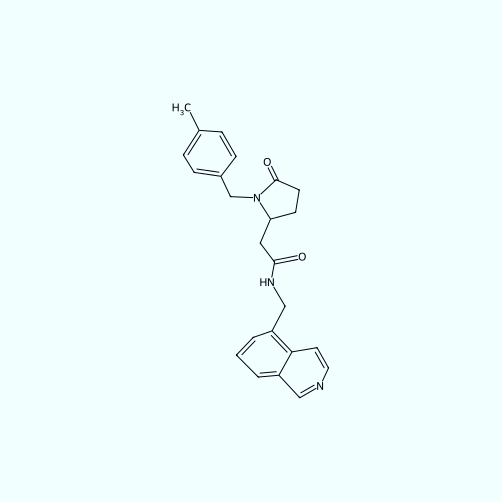 Cc1ccc(CN2C(=O)CCC2CC(=O)NCc2cccc3cnccc23)cc1